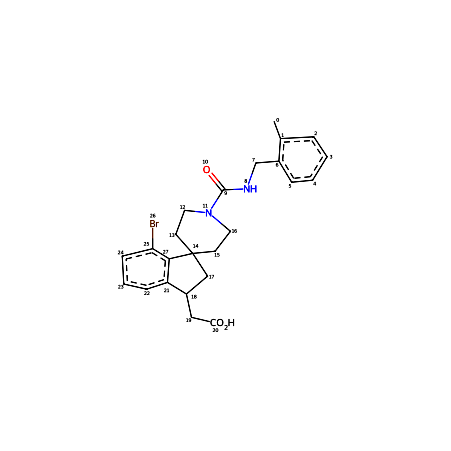 Cc1ccccc1CNC(=O)N1CCC2(CC1)CC(CC(=O)O)c1cccc(Br)c12